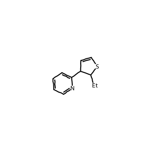 CCC1SC=CC1c1ccccn1